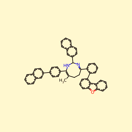 C/C1=C(\c2ccc(-c3ccc4ccccc4c3)cc2)NC(c2ccc3ccccc3c2)/N=C(/c2ccccc2-c2cccc3oc4ccccc4c23)CC1